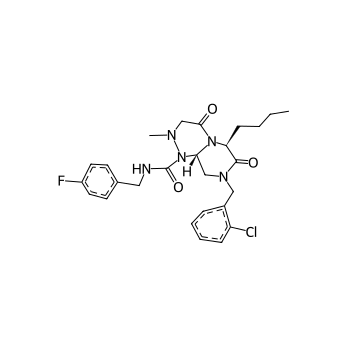 CCCC[C@H]1C(=O)N(Cc2ccccc2Cl)C[C@H]2N1C(=O)CN(C)N2C(=O)NCc1ccc(F)cc1